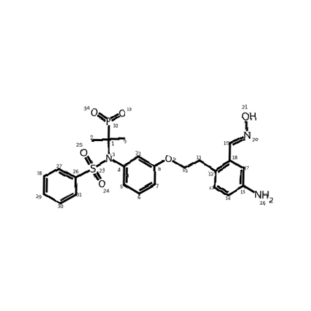 CC(C)(N(c1cccc(OCCc2ccc(N)cc2C=NO)c1)S(=O)(=O)c1ccccc1)P(=O)=O